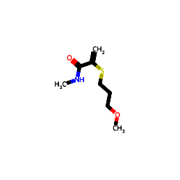 C=C(SCCCOC)C(=O)NC